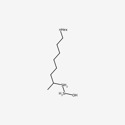 CCCCCCCCCCCCC(C)[SiH2][SiH2]O